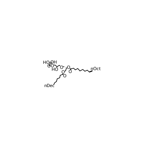 CCCCCCCC/C=C\CCCCCCCC(=O)O[C@@H](COCC(O)COP(=O)(O)O)COC(=O)CCCCCCCCCCCCCCC